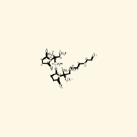 O=C(O)CC(C(=O)O)(N1C(=O)CCC1=O)S(=O)(=O)O.O=C(O)CC(C(=O)O)(N1C(=O)CCC1=O)S(=O)(=O)O.OCCOCCO